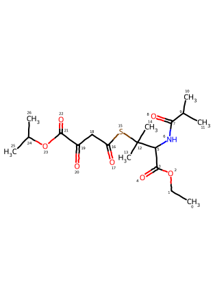 CCOC(=O)C(NC(=O)C(C)C)C(C)(C)SC(=O)CC(=O)C(=O)OC(C)C